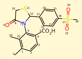 Cc1ccc(C(=O)O)c(N2C(=O)CSC2c2ccc(S(C)(=O)=O)cc2)c1C